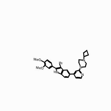 COc1ccc(-c2[nH]c3ccc(-c4ccnc(N5CCN(C6CCC6)CC5)c4)cc3c2C(C)C)cc1OC